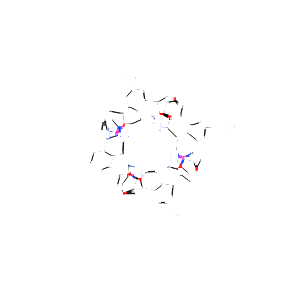 O=S(=O)(O)c1cc(-c2ccccc2)c(-c2c3nc(c(-c4c(-c5ccccc5)cc(S(=O)(=O)O)cc4-c4ccccc4)c4ccc([nH]4)c(-c4c(-c5ccccc5)cc(S(=O)(=O)O)cc4-c4ccccc4)c4nc(c(-c5c(-c6ccccc6)cc(S(=O)(=O)O)cc5-c5ccccc5)c5ccc2[nH]5)C=C4)C=C3)c(-c2ccccc2)c1